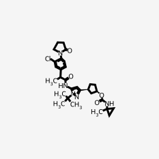 CC(C(=O)Nc1cc([C@H]2CC[C@@H](OC(=O)NC3(C)CC3)C2)nn1C(C)(C)C)c1ccc(N2CCCC2=O)c(Cl)c1